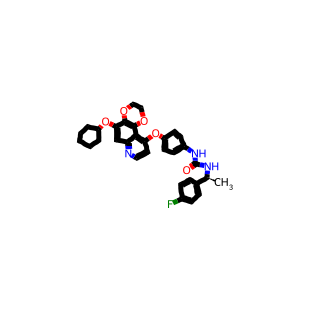 C[C@@H](NC(=O)Nc1ccc(Oc2ccnc3cc(OC4CCCCC4)c4c(c23)OCCO4)cc1)c1ccc(F)cc1